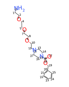 NCCOCCOCCOCCN1CCN(C(=O)OCc2ccccc2)CC1